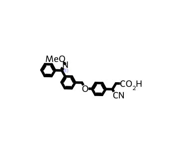 CO/N=C(\c1ccccc1)c1cccc(COc2ccc(C(C#N)CC(=O)O)cc2)c1